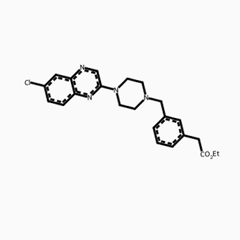 CCOC(=O)Cc1cccc(CN2CCN(c3cnc4cc(Cl)ccc4n3)CC2)c1